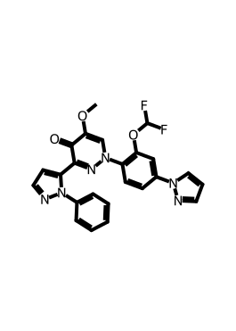 COc1cn(-c2ccc(-n3cccn3)cc2OC(F)F)nc(-c2ccnn2-c2ccccc2)c1=O